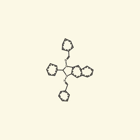 C(=NN1c2cc3ccccc3cc2N(N=Cc2ccccc2)C1c1ccccc1)c1ccccc1